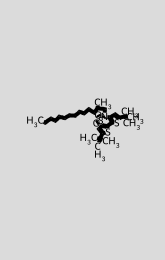 CCCCCCCCCCCCC(C)CN1c2cc(C(C)(C)C)sc2-c2sc(C(C)(C)C)cc2S1(=O)=O